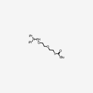 CC(C)N(POCCOCCSC(=O)C(C)(C)C)C(C)C